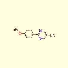 CCCOc1ccc(-c2ncc(C#N)cn2)cc1